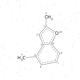 Cc1[c]c2c(C)cccc2o1